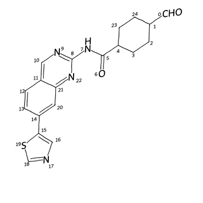 O=CC1CCC(C(=O)Nc2ncc3ccc(-c4cncs4)cc3n2)CC1